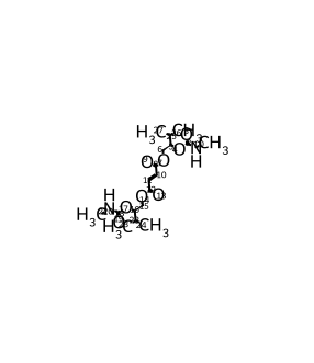 CNC(=O)O[C@@H](COC(=O)/C=C/C(=O)OC[C@H](OC(=O)NC)C(C)C)C(C)C